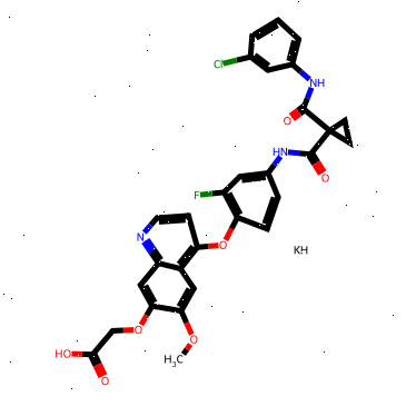 COc1cc2c(Oc3ccc(NC(=O)C4(C(=O)Nc5cccc(Cl)c5)CC4)cc3F)ccnc2cc1OCC(=O)O.[KH]